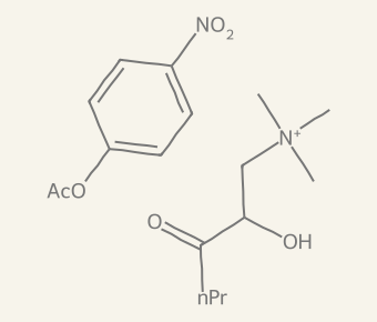 CC(=O)Oc1ccc([N+](=O)[O-])cc1.CCCC(=O)C(O)C[N+](C)(C)C